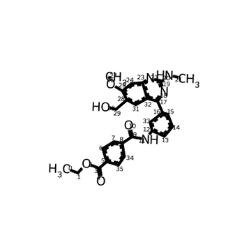 CCOC(=O)c1ccc(C(=O)Nc2cccc(-c3nc(NC)nc4cc(OC)c(CO)cc34)c2)cc1